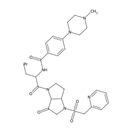 CC(C)CC(NC(=O)c1ccc(N2CCN(C)CC2)cc1)C(=O)N1CCC2C1C(=O)CN2S(=O)(=O)Cc1ccccn1